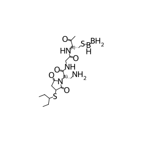 BBSC[C@H](NC(=O)CNC(=O)[C@H](CN)N1C(=O)CC(SC(CC)CC)C1=O)C(C)=O